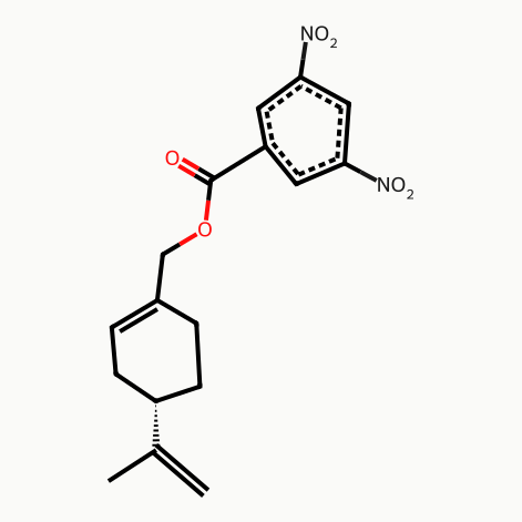 C=C(C)[C@@H]1CC=C(COC(=O)c2cc([N+](=O)[O-])cc([N+](=O)[O-])c2)CC1